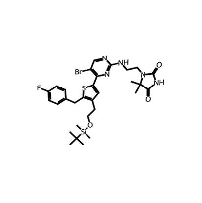 CC1(C)C(=O)NC(=O)N1CCNc1ncc(Br)c(-c2cc(CCO[Si](C)(C)C(C)(C)C)c(Cc3ccc(F)cc3)s2)n1